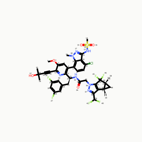 COc1cc(-c2ccc(Cl)c3c(NS(C)(=O)=O)nn(C)c23)c([C@H](Cc2cc(F)cc(F)c2)NC(=O)Cn2nc(C(F)F)c3c2C(F)(F)[C@@H]2C[C@H]32)nc1C#CC(C)(C)O